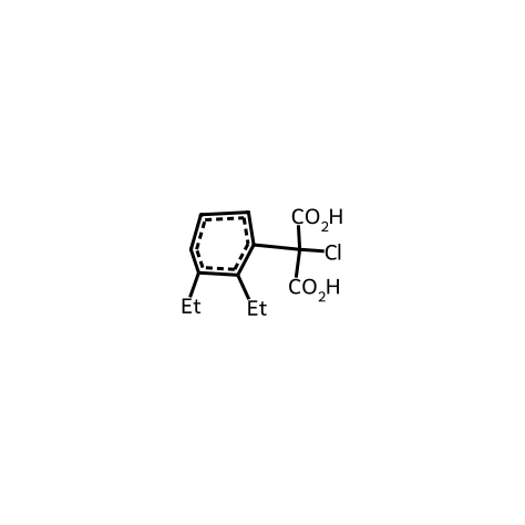 CCc1cccc(C(Cl)(C(=O)O)C(=O)O)c1CC